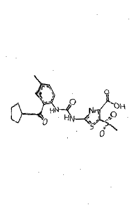 Cc1ccc(NC(=O)Nc2nc(C(=O)O)c(S(C)(=O)=O)s2)c(C(=O)C2CCCC2)c1